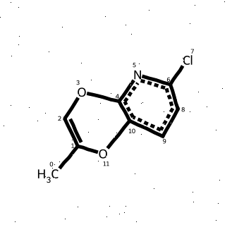 CC1=COc2nc(Cl)ccc2O1